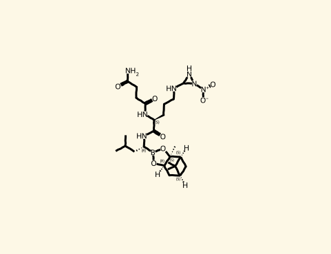 CC(C)C[C@H](NC(=O)[C@H](CCCNC1NN1[N+](=O)[O-])NC(=O)CCC(N)=O)B1O[C@@H]2C[C@@H]3C[C@@H](C3(C)C)[C@]2(C)O1